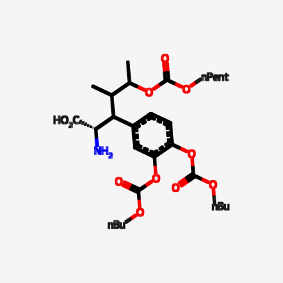 CCCCCOC(=O)OC(C)C(C)C(c1ccc(OC(=O)OCCCC)c(OC(=O)OCCCC)c1)[C@H](N)C(=O)O